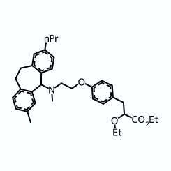 CCCc1ccc2c(c1)CCc1ccc(C)cc1C2N(C)CCOc1ccc(CC(OCC)C(=O)OCC)cc1